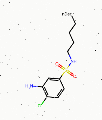 CCCCCCCCCCCCCCNS(=O)(=O)c1ccc(Cl)c(N)c1